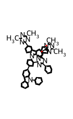 Cc1nc(C)nc(-c2ccc3c(c2)c2cc(-c4nc(C)nc(C)n4)ccc2n3-c2ccc(-c3ccc4c5ccccc5n(-c5ccccc5)c4c3)cc2-c2nc(-c3ccccc3)nc(-c3ccccc3)n2)n1